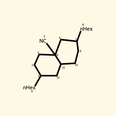 CCCCCCC1CCC2(C#N)CC(CCCCCC)CCC2C1